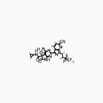 CC1(C(=O)NC2CC2)C(=O)Nc2nc(-c3nn(CCC(F)(F)C(F)(F)F)c4nc(C#N)ccc34)nc(N)c21